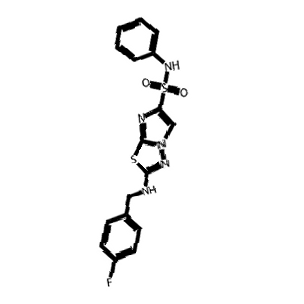 O=S(=O)(Nc1ccccc1)c1cn2nc(NCc3ccc(F)cc3)sc2n1